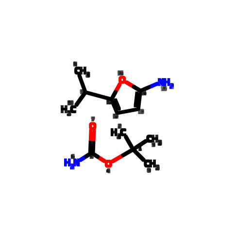 CC(C)(C)OC(N)=O.CC(C)c1ccc(N)o1